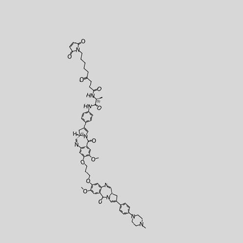 COc1cc2c(cc1OCCCOc1cc3c(cc1OC)C(=O)N1C=C(c4ccc(NC(=O)[C@H](C)NC(=O)CCC(=O)CCCCCN5C(=O)C=CC5=O)cc4)C[C@H]1C=N3)N=CC1CC(c3ccc(N4CCN(C)CC4)cc3)=CN1C2=O